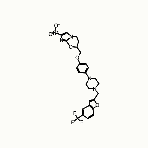 O=[N+]([O-])c1cn2c(n1)OC(COc1ccc(N3CCN(Cc4cc5cc(C(F)(F)F)ccc5o4)CC3)cc1)CC2